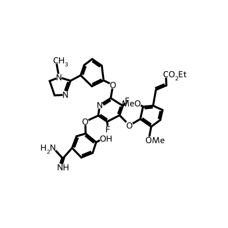 CCOC(=O)/C=C/c1ccc(OC)c(Oc2c(F)c(Oc3cccc(C4=NCCN4C)c3)nc(Oc3cc(C(=N)N)ccc3O)c2F)c1OC